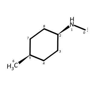 [C]N[C@H]1CC[C@@H](C)CC1